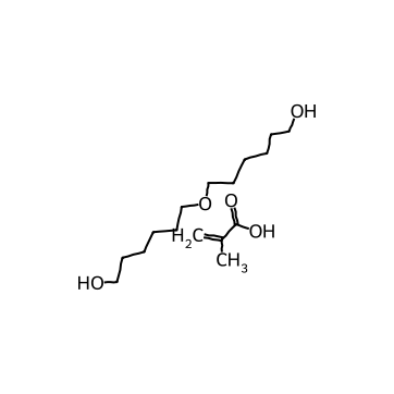 C=C(C)C(=O)O.OCCCCCCOCCCCCCO